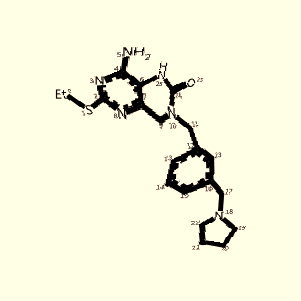 CCSc1nc(N)c2c(n1)CN(Cc1cccc(CN3CCCC3)c1)C(=O)N2